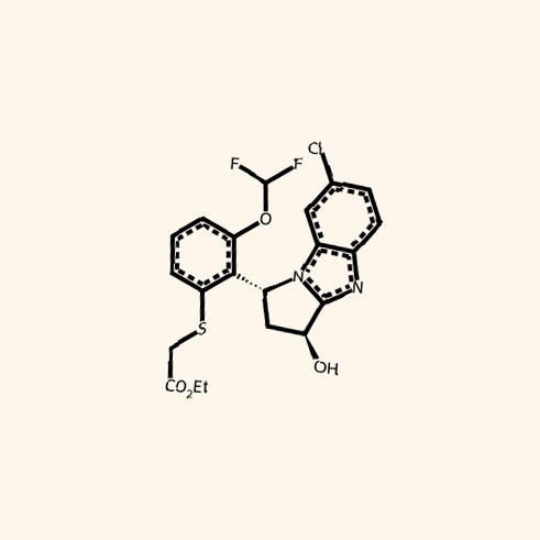 CCOC(=O)CSc1cccc(OC(F)F)c1[C@H]1C[C@H](O)c2nc3ccc(Cl)cc3n21